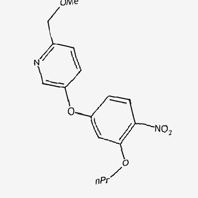 CCCOc1cc(Oc2ccc(COC)nc2)ccc1[N+](=O)[O-]